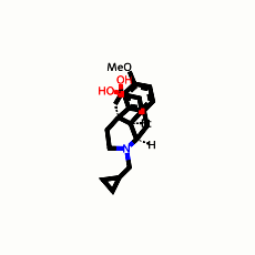 CC[C@@]12CCC(O)C[C@@]13CCN(CC1CC1)[C@@H]2Cc1ccc(OC)c(O)c13